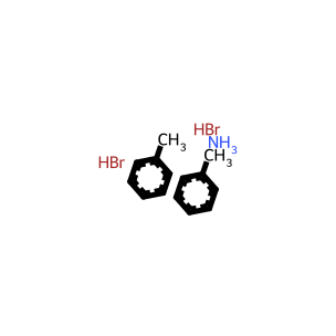 Br.Br.Cc1ccccc1.Cc1ccccc1.N